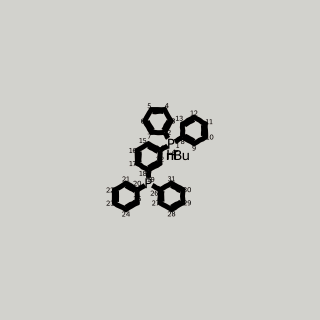 CCCC[PH](c1ccccc1)(c1ccccc1)c1cccc(P(c2ccccc2)c2ccccc2)c1